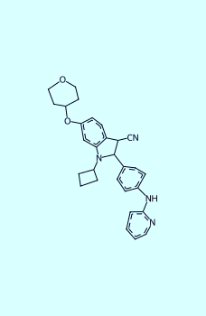 N#CC1c2ccc(OC3CCOCC3)cc2N(C2CCC2)C1c1ccc(Nc2ccccn2)cc1